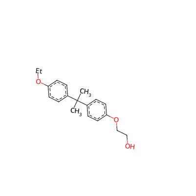 CCOc1ccc(C(C)(C)c2ccc(OCCO)cc2)cc1